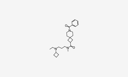 CCN(CCCN(C)C(=O)C1CC2(CCN(C(=O)c3ccccc3)CC2)C1)C1CCC1